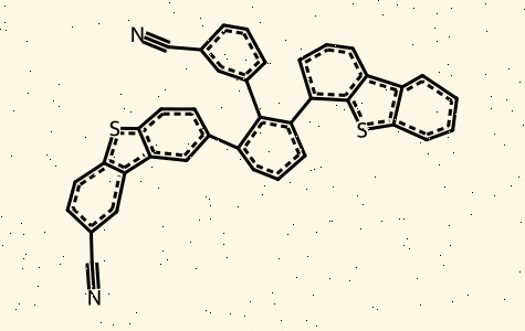 N#Cc1cccc(-c2c(-c3ccc4sc5ccc(C#N)cc5c4c3)cccc2-c2cccc3c2sc2ccccc23)c1